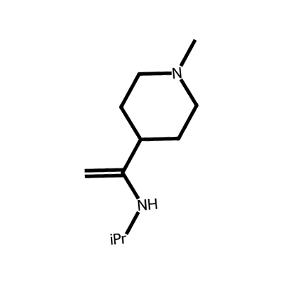 C=C(NC(C)C)C1CCN(C)CC1